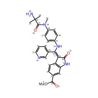 COC(=O)c1ccc2c(c1)NC(=O)/C2=C(\Nc1ccc(N(C)C(=O)C(C)(C)N)cc1)c1cccnc1